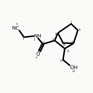 N#CCNC(=O)C1C2CCC(C2)C1CO